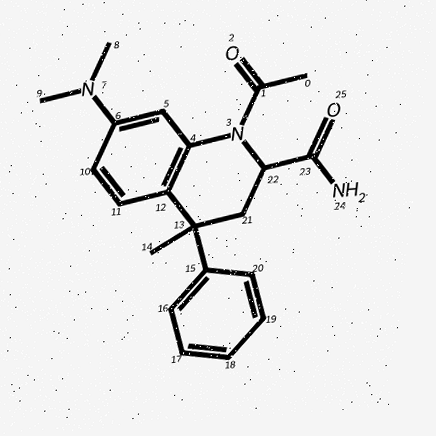 CC(=O)N1c2cc(N(C)C)[c]cc2C(C)(c2ccccc2)CC1C(N)=O